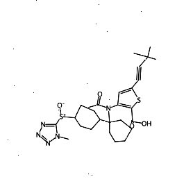 CC(=O)N(c1cc(C#CC(C)(C)C)sc1C(=O)O)C1(C2CCC([S+]([O-])c3nnnn3C)CC2)CCCCC1